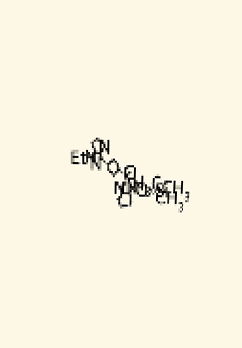 CCn1nc(-c2ccc(C(=O)c3nc4ccccc4n3COCC[Si](C)(C)C)cc2)c2ncccc21